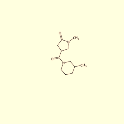 CC1CCCN(C(=O)C2CC(=O)N(C)C2)C1